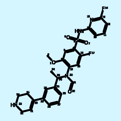 COc1cc(S(=O)(=O)Nc2cccc(F)n2)c(F)cc1N(C=O)[C@H](C)c1cccc(C2=CCNCC2)c1